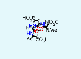 CN[C@@H](CC(=O)O)C(=O)N[C@@H](CCC(=O)O)C(=O)N[C@H](C(=O)N[C@@H](CC(=O)O)C(C)=O)C(C)C